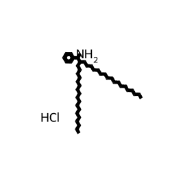 CCCCCCCCCCCCCCCCCCC(CCCCCCCCCCCCCCCCCC)C(N)c1ccccc1.Cl